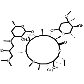 CC[C@H]1OC(=O)[C@H](C)[C@@H](O[C@H]2C[C@@](C)(OC)[C@@H](O)[C@H](C)O2)[C@H](C)[C@@H](O[C@@H]2O[C@H](C)CC(N(C)CC(O)CN(C)C)[C@H]2O)[C@](C)(O)C[C@@H](C)CN(C)[C@H](C)[C@@H](O)[C@]1(C)O